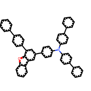 c1ccc(-c2ccc(-c3cc(-c4ccc(N(c5ccc(-c6ccccc6)cc5)c5ccc(-c6ccccc6)cc5)cc4)cc4c3oc3ccccc34)cc2)cc1